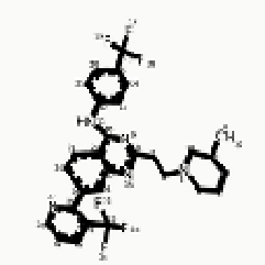 CC1CCCN(CCc2nc(Nc3ccc(C(F)(F)F)cc3)c3ccc(-c4ncccc4C(F)(F)F)cc3n2)C1